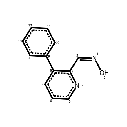 O/N=C\c1ncccc1-c1ccccc1